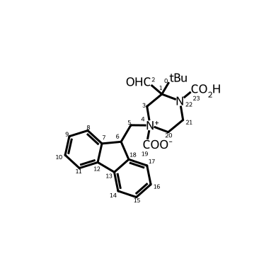 CC(C)(C)C1(C=O)C[N+](CC2c3ccccc3-c3ccccc32)(C(=O)[O-])CCN1C(=O)O